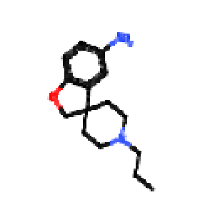 CCCN1CCC2(CC1)COc1ccc(N)cc12